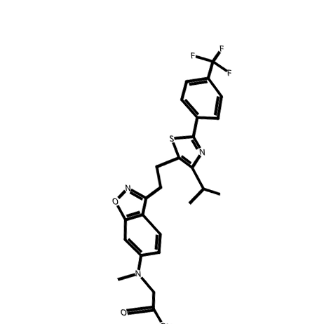 CC(C)c1nc(-c2ccc(C(F)(F)F)cc2)sc1CCc1noc2cc(N(C)CC(=O)O)ccc12